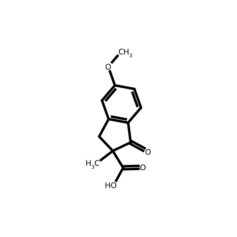 COc1ccc2c(c1)CC(C)(C(=O)O)C2=O